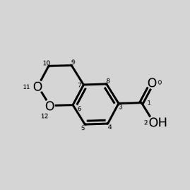 O=C(O)c1ccc2c(c1)CCOO2